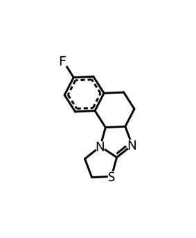 Fc1ccc2c(c1)CCC1N=C3SCCN3C21